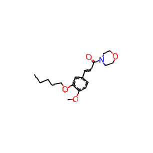 CCCCCOc1cc(C=CC(=O)N2CCOCC2)ccc1OC